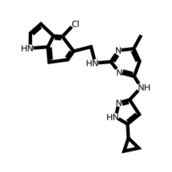 Cc1cc(Nc2cc(C3CC3)[nH]n2)nc(NCc2ccc3[nH]ccc3c2Cl)n1